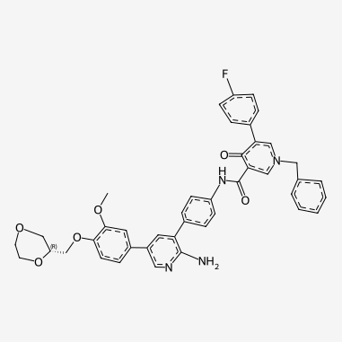 COc1cc(-c2cnc(N)c(-c3ccc(NC(=O)c4cn(Cc5ccccc5)cc(-c5ccc(F)cc5)c4=O)cc3)c2)ccc1OC[C@H]1COCCO1